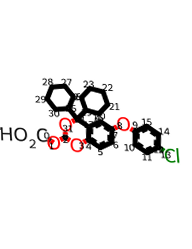 O=C(O)OC1Oc2ccc(Oc3ccc(Cl)cc3)cc2C(C2CCCCC2)(C2CCCCC2)O1